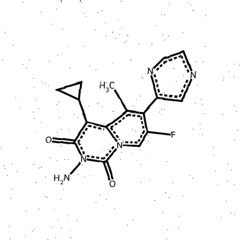 Cc1c(-c2cnccn2)c(F)cn2c(=O)n(N)c(=O)c(C3CC3)c12